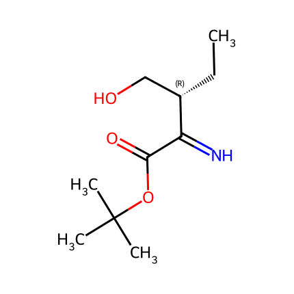 CC[C@@H](CO)C(=N)C(=O)OC(C)(C)C